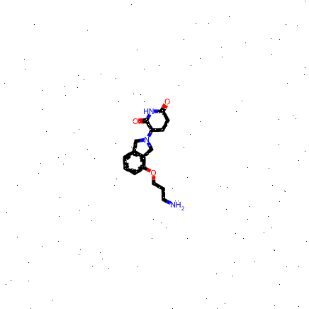 NCCCOc1cccc2c1CN(C1CCC(=O)NC1=O)C2